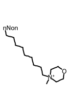 CCCCCCCCCCCCCCCCCC[N+]1(C)CCOCC1